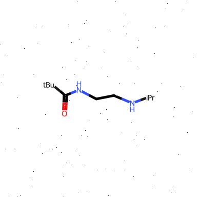 CC(C)NCCNC(=O)C(C)(C)C